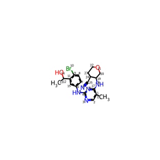 Cc1cnc(Nc2ccc(Br)c(C(C)O)c2)nc1NC1COCCC1C#N